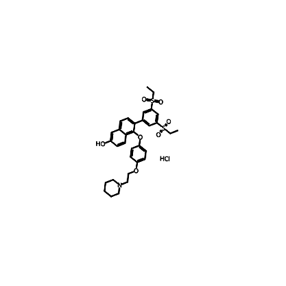 CCS(=O)(=O)c1cc(-c2ccc3cc(O)ccc3c2Oc2ccc(OCCN3CCCCC3)cc2)cc(S(=O)(=O)CC)c1.Cl